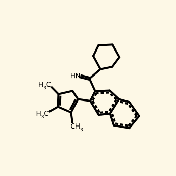 CC1=C(C)C(C)=C(c2cc3ccccc3cc2C(=N)C2CCCCC2)C1